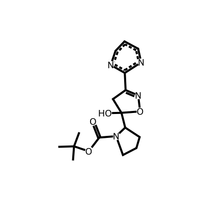 CC(C)(C)OC(=O)N1CCCC1C1(O)CC(c2ncccn2)=NO1